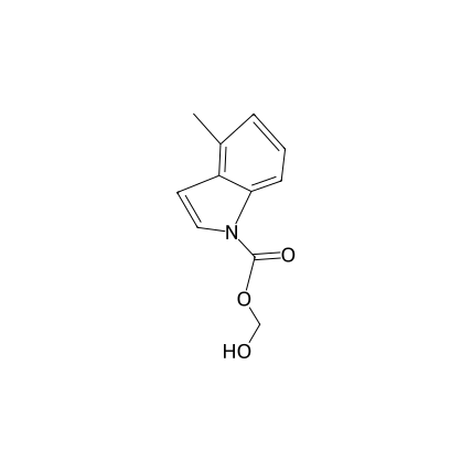 Cc1cccc2c1ccn2C(=O)OCO